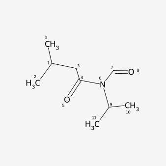 CC(C)CC(=O)N(C=O)C(C)C